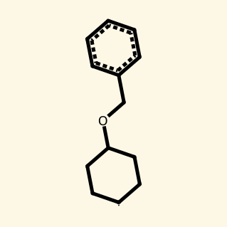 [CH]1CCC(OCc2ccccc2)CC1